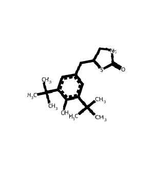 CC(C)(C)c1cc(CC2CNC(=O)S2)cc(C(C)(C)C)c1O